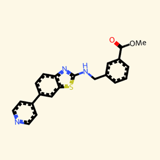 COC(=O)c1cccc(CNc2nc3ccc(-c4ccncc4)cc3s2)c1